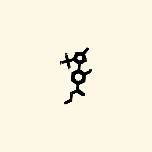 CCOC(=O)c1ccc(-n2nc(C)cc2C(F)(F)F)c(F)c1